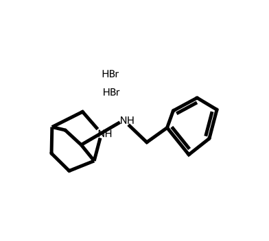 Br.Br.c1ccc(CNC2CC3CCC2NC3)cc1